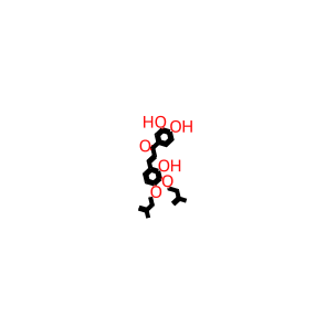 C=C(C)CCOc1ccc(C=CC(=O)c2ccc(O)c(O)c2)c(O)c1OCCC(=C)C